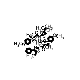 CCc1sc(NC(=O)C(C)(C)S(=O)(=O)c2ccc(OC)cc2)nc1-c1ccccc1.COc1ccc(S(=O)(=O)C(C)(C)C(=O)Nc2nc(C(C)(C)C)cs2)cc1